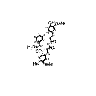 COc1cc(/C=C/C(=O)CC(=O)/C=C/c2ccc(O)c(OC)c2)ccc1O.N[C@@H](Cc1ccccc1)C(=O)O